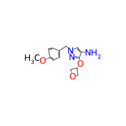 COc1ccc(Cn2cc(N)c(OC3COC3)n2)cc1